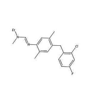 CCN(C)C=Nc1cc(C)c(Cc2ccc(F)cc2Cl)cc1C